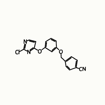 N#Cc1ccc(COc2cccc(Oc3ccnc(Cl)n3)c2)cc1